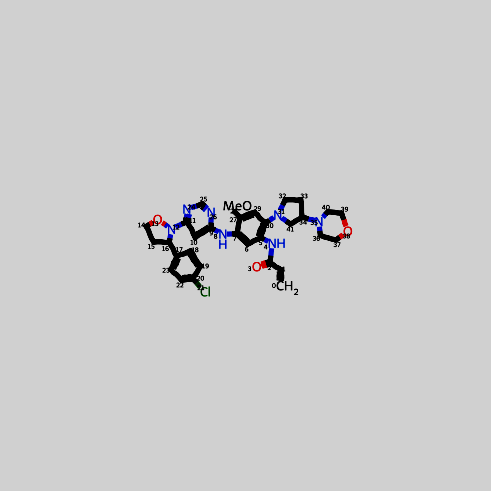 C=CC(=O)Nc1cc(Nc2cc(N3OCCC3c3ccc(Cl)cc3)ncn2)c(OC)cc1N1CCC(N2CCOCC2)C1